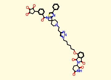 O=C1CCC(N2C(=O)c3cccc(OCCCCCCn4cc(CCN5CCC(CNC(=O)c6cccc(C7CC(=O)C(=O)C7=O)c6)(c6nc(-c7ccccc7)cs6)CC5)nn4)c3C2=O)C(=O)N1